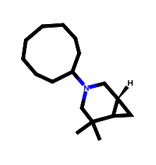 CC1(C)CN(C2CCCCCCCC2)C[C@@H]2CC21